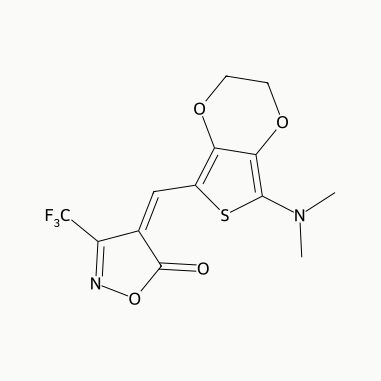 CN(C)c1sc(/C=C2\C(=O)ON=C2C(F)(F)F)c2c1OCCO2